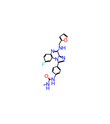 CNC(=O)Nc1ccc(-c2cnc3c(NCc4ccco4)nc4ccc(F)cc4n23)cc1